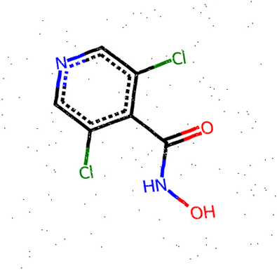 O=C(NO)c1c(Cl)cncc1Cl